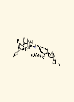 COc1cc(/C=C/c2nc3n(n2)CCC[C@@H]3c2c(F)cc(F)cc2F)ccc1-n1cnc(C)c1